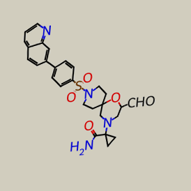 NC(=O)C1(N2CC(C=O)OC3(CCN(S(=O)(=O)c4ccc(-c5ccc6cccnc6c5)cc4)CC3)C2)CC1